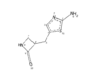 Nc1ncc(CC2CNC2=O)s1